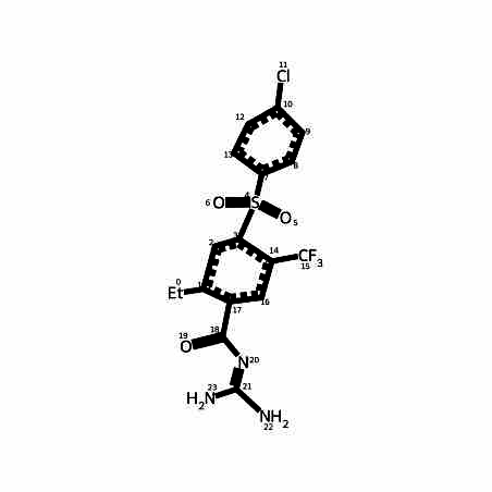 CCc1cc(S(=O)(=O)c2ccc(Cl)cc2)c(C(F)(F)F)cc1C(=O)N=C(N)N